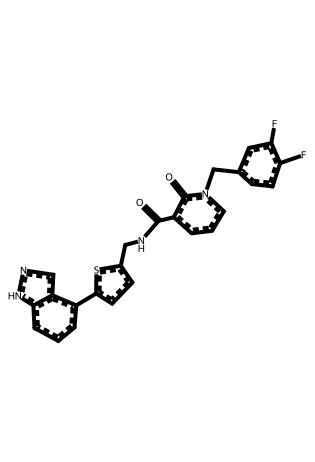 O=C(NCc1ccc(-c2cccc3[nH]ncc23)s1)c1cccn(Cc2ccc(F)c(F)c2)c1=O